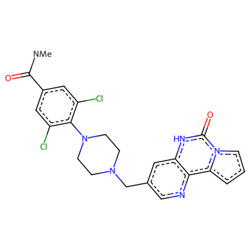 CNC(=O)c1cc(Cl)c(N2CCN(Cc3cnc4c(c3)[nH]c(=O)n3cccc43)CC2)c(Cl)c1